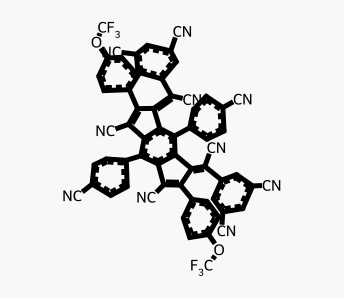 N#CC1=C(c2ccc(OC(F)(F)F)cc2)/C(=C(/C#N)c2cc(C#N)cc(C#N)c2)c2c1c(-c1ccc(C#N)cc1)c1c(c2-c2ccc(C#N)cc2)/C(=C(\C#N)c2cc(C#N)cc(C#N)c2)C(c2ccc(OC(F)(F)F)cc2)=C1C#N